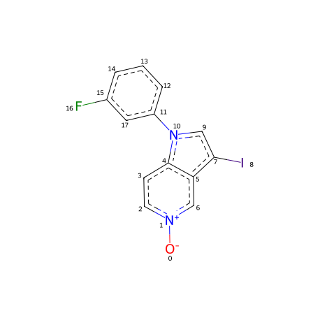 [O-][n+]1ccc2c(c1)c(I)cn2-c1cccc(F)c1